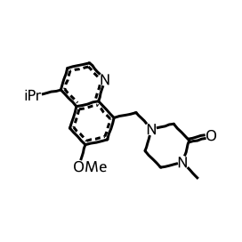 COc1cc(CN2CCN(C)C(=O)C2)c2nccc(C(C)C)c2c1